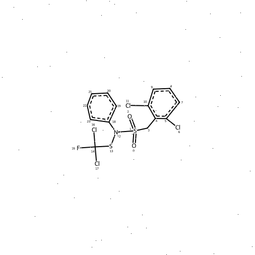 O=S(=O)(Cc1c(Cl)cccc1Cl)N(SC(F)(Cl)Cl)c1ccccc1